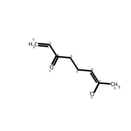 C=CC(=O)CC/C=C(/C)Cl